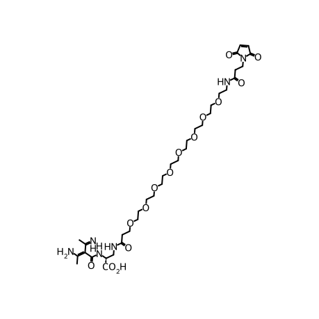 CC(=N)/C(C(=O)N[C@@H](CNC(=O)CCOCCOCCOCCOCCOCCOCCOCCOCCNC(=O)CCN1C(=O)C=CC1=O)C(=O)O)=C(/C)N